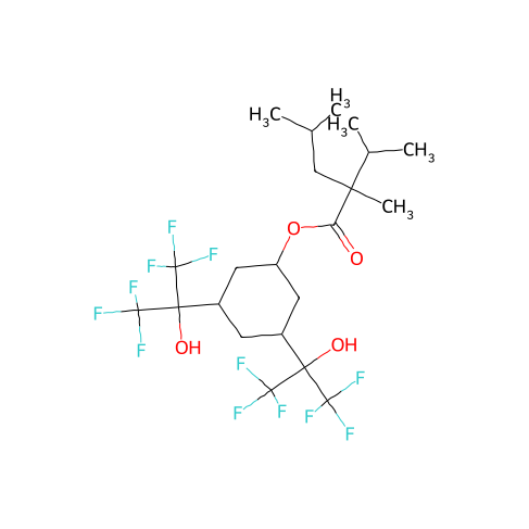 CC(C)CC(C)(C(=O)OC1CC(C(O)(C(F)(F)F)C(F)(F)F)CC(C(O)(C(F)(F)F)C(F)(F)F)C1)C(C)C